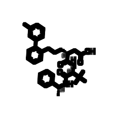 Cc1cccc(-c2ccccc2CCC[C@H](CC(=O)O)C(=O)N[C@H](C(=O)N[C@H](C)c2ccccc2)C(C)(C)C)c1